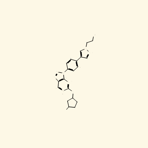 Cl.OCCn1cc(-c2ccc(-n3nnc4cnc(NC5CCC(O)C5)nc43)cc2)cn1